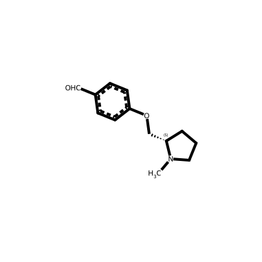 CN1CCC[C@H]1COc1ccc(C=O)cc1